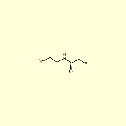 O=C(CF)NCCBr